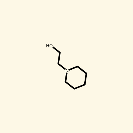 OCCN1CC[C]CC1